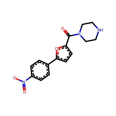 O=C(c1ccc(-c2ccc([N+](=O)[O-])cc2)o1)N1CCNCC1